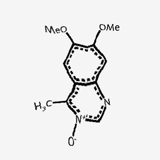 COc1cc2nc[n+]([O-])c(C)c2cc1OC